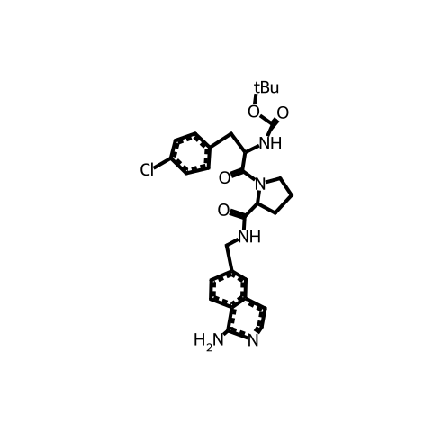 CC(C)(C)OC(=O)NC(Cc1ccc(Cl)cc1)C(=O)N1CCCC1C(=O)NCc1ccc2c(N)nccc2c1